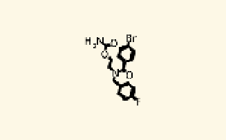 NC(=O)OCCN(Cc1ccc(F)cc1)C(=O)c1ccc(Br)cc1